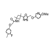 COc1ccc(OCc2nnc(C3(C)CC(C)(NC(=O)COc4ccc(C)c(F)c4)C3)o2)cn1